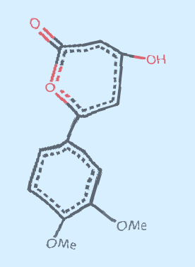 COc1ccc(-c2cc(O)cc(=O)o2)cc1OC